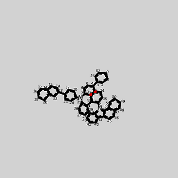 c1ccc(-c2ccc(N(c3ccc(-c4ccc5ccccc5c4)cc3)c3ccccc3-c3ccccc3-n3c4ccccc4c4ccc5ccccc5c43)cc2)cc1